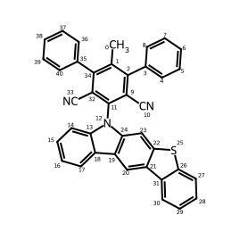 Cc1c(-c2ccccc2)c(C#N)c(-n2c3ccccc3c3cc4c(cc32)sc2ccccc24)c(C#N)c1-c1ccccc1